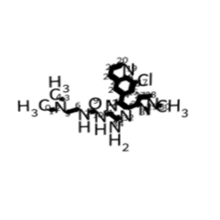 CCN(CC)CCNC(=O)Nc1nc(-c2cc(Cl)c3ncccc3c2)c(-c2ccn(C)n2)nc1N